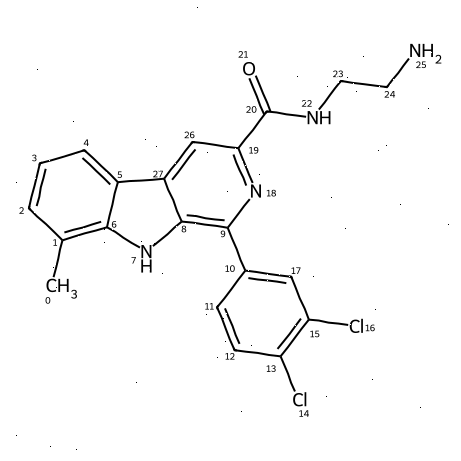 Cc1cccc2c1[nH]c1c(-c3ccc(Cl)c(Cl)c3)nc(C(=O)NCCN)cc12